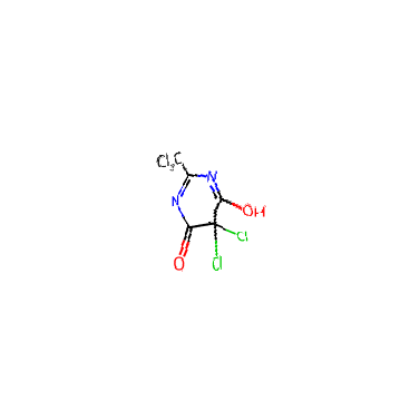 O=C1N=C(C(Cl)(Cl)Cl)N=C(O)C1(Cl)Cl